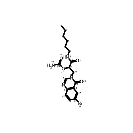 CCCCCCNC(=O)C(Cn1cnc2ccc(Br)cc2c1=O)OC(N)=O